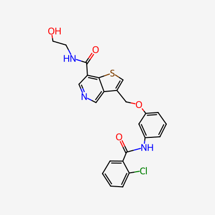 O=C(Nc1cccc(OCc2csc3c(C(=O)NCCO)cncc23)c1)c1ccccc1Cl